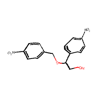 O=[N+]([O-])c1ccc(COC(CO)c2ccc([N+](=O)[O-])cc2)cc1